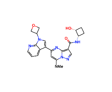 CNc1cc(-c2cn(C3COC3)c3ncccc23)nc2c(C(=O)N[C@H]3CC[C@H]3O)cnn12